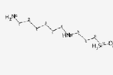 NCCCCCCNCCC[SiH2]O